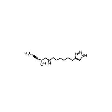 CC#CC(O)CNCCCCCCc1c[nH]nn1